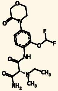 CCN(C)[C@H](C(N)=O)C(=O)Nc1ccc(N2CCOCC2=O)cc1OC(F)F